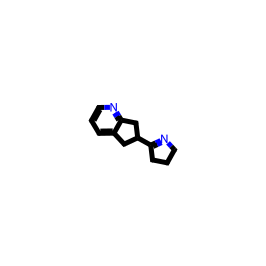 c1cnc2c(c1)CC(C1=NCCC1)C2